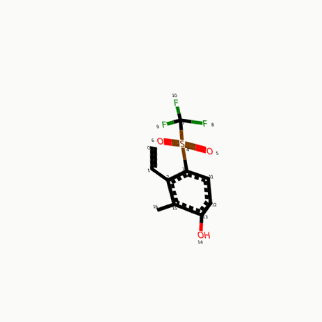 C=Cc1c(S(=O)(=O)C(F)(F)F)ccc(O)c1C